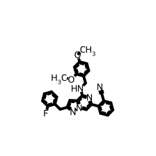 COc1ccc(CNc2nc(-c3ccccc3C#N)cn3nc(Cc4ccccc4F)cc23)c(OC)c1